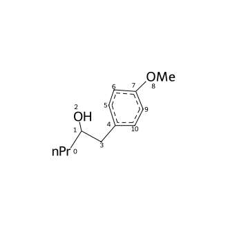 CCCC(O)Cc1ccc(OC)cc1